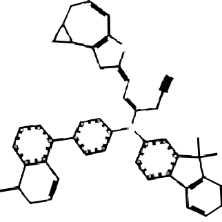 C#CC/C(=C\C=C1/CC2=C(C=CCC3CC23)O1)N(c1ccc(-c2cccc3c2C=CCC3C)cc1)c1ccc2c(c1)C(C)(C)C1=C2C=CCC1